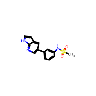 CS(=O)(=O)Nc1cccc(-c2cnc3[nH]ccc3c2)c1